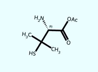 CC(=O)OC(=O)[C@@H](N)C(C)(C)S